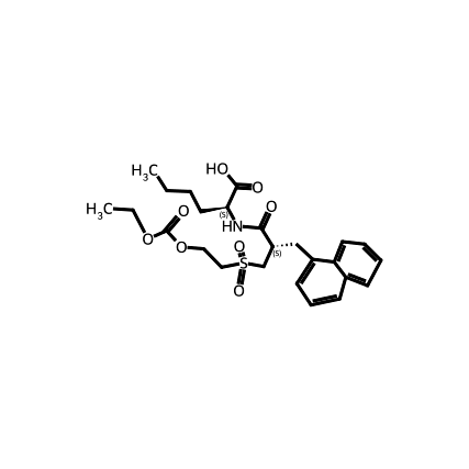 CCCC[C@H](NC(=O)[C@H](Cc1cccc2ccccc12)CS(=O)(=O)CCOC(=O)OCC)C(=O)O